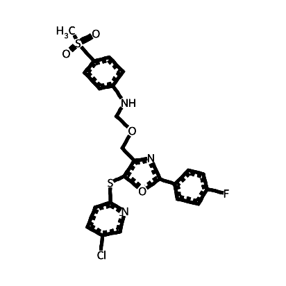 CS(=O)(=O)c1ccc(NCOCc2nc(-c3ccc(F)cc3)oc2Sc2ccc(Cl)cn2)cc1